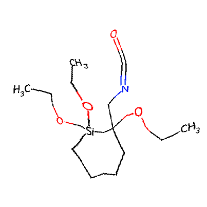 CCOC1(CN=C=O)CCCC[Si]1(OCC)OCC